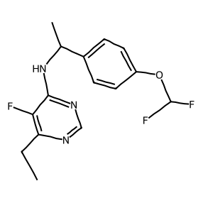 CCc1ncnc(NC(C)c2ccc(OC(F)F)cc2)c1F